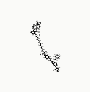 Cc1noc(C)c1-c1ccc2c(c1)nc(CCc1ccc(NC(=O)CCCCCCCCCCCNc3cccc4c3C(=O)N(C3CCC(=O)NC3=O)C4=O)cc1)n2CCN1CCOCC1